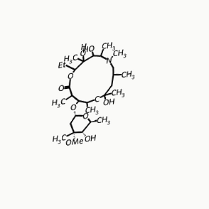 CCC1OC(=O)C(C)C(O[C@H]2C[C@@](C)(OC)[C@@H](O)[C@H](C)O2)C(C)CC(C)(O)CC(C)CN(C)C(C)C(O)C1(C)O